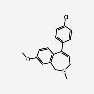 COc1ccc2c(c1)CN(C)CC=C2c1ccc(Cl)cc1